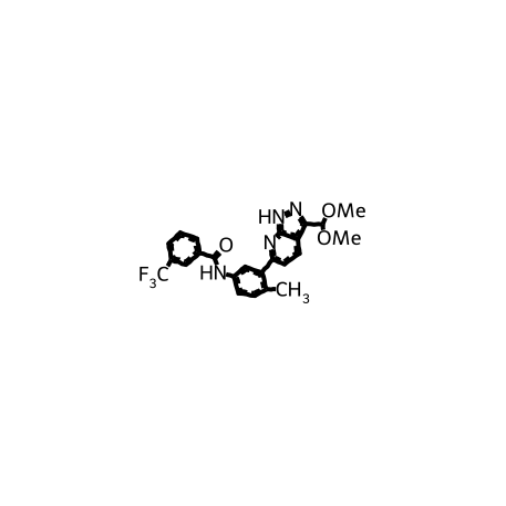 COC(OC)c1n[nH]c2nc(-c3cc(NC(=O)c4cccc(C(F)(F)F)c4)ccc3C)ccc12